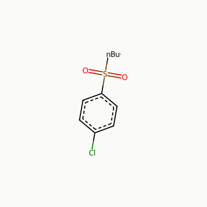 CCC[CH]S(=O)(=O)c1ccc(Cl)cc1